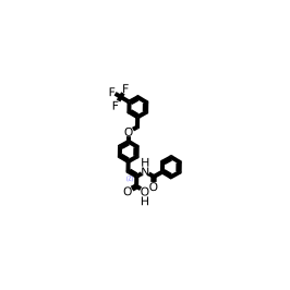 O=C(O)/C(=C/c1ccc(OCc2cccc(C(F)(F)F)c2)cc1)NC(=O)c1ccccc1